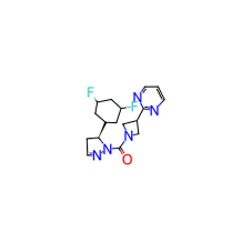 O=C(N1CC(c2ncccn2)C1)N1N=CC[C@H]1C1CC(F)CC(F)C1